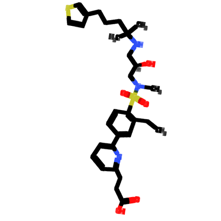 CCc1cc(-c2cccc(CCC(=O)O)n2)ccc1S(=O)(=O)N(C)C[C@H](O)CNC(C)(C)CCCc1ccsc1